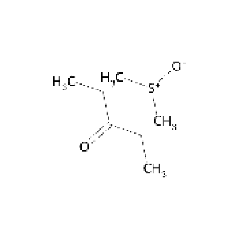 CCC(=O)CC.C[S+](C)[O-]